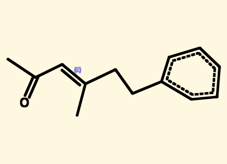 CC(=O)/C=C(\C)CCc1ccccc1